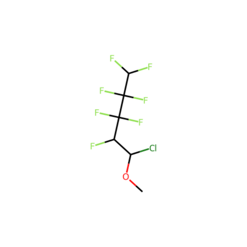 COC(Cl)C(F)C(F)(F)C(F)(F)C(F)F